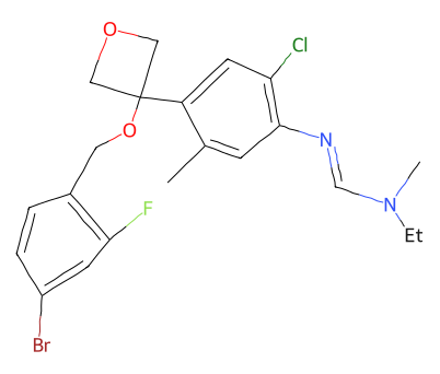 CCN(C)C=Nc1cc(C)c(C2(OCc3ccc(Br)cc3F)COC2)cc1Cl